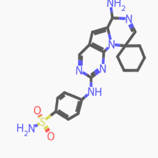 NC1N=CC2(CCCCC2)n2c1cc1cnc(Nc3ccc(S(N)(=O)=O)cc3)nc12